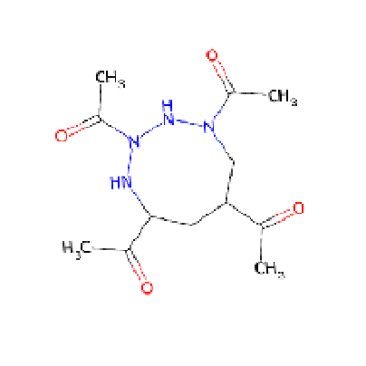 CC(=O)C1CC(C(C)=O)NN(C(C)=O)NN(C(C)=O)C1